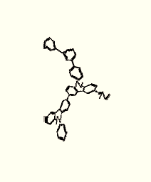 N#CC1=CC2c3cc(-c4ccc5c(c4)c4ccccc4n5-c4ccccc4)ccc3N(c3ccc(-c4cccc(-c5ccccc5)c4)cc3)C2C=C1